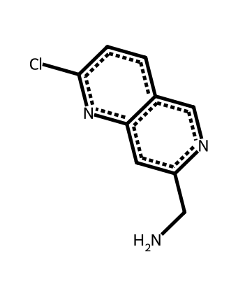 NCc1cc2nc(Cl)ccc2cn1